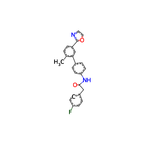 Cc1ccc(-c2ncco2)cc1-c1ccc(NC(=O)Cc2ccc(F)cc2)cc1